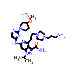 COC1CCN(c2nccc(Nc3cc4c(c(CCCN5CCN(CCCN)CC5)n3)c(C(N)=O)nn4C(C)C)n2)CC1.Cl